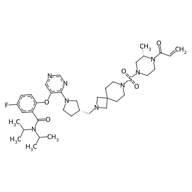 C=CC(=O)N1CCN(S(=O)(=O)N2CCC3(CC2)CN(C[C@@H]2CCN(c4ncncc4Oc4ccc(F)cc4C(=O)N(C(C)C)C(C)C)C2)C3)C[C@@H]1C